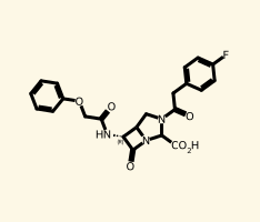 O=C(COc1ccccc1)N[C@H]1C(=O)N2C1CN(C(=O)Cc1ccc(F)cc1)C2C(=O)O